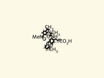 CNC(=O)c1ccc2c(C)cn(C(C)C(=O)Nc3cc(Cn4cccc(C)c4=O)ccc3CCCC(=O)O)c2c1